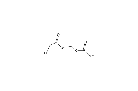 CCSC(=O)OCOC(=O)C(C)C